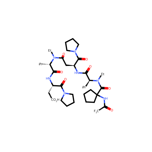 CCN(C(=O)C[C@H](NC(=O)[C@H](C(C)C)N(CC)C(=O)C1(NC(=O)C(F)(F)F)CCCC1)C(=O)N1CCCC1)[C@H](C(=O)N[C@@H](CC(=O)O)C(=O)N1CCCC1)C(C)C